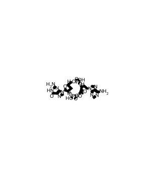 Nc1nc2c(ncn2[C@@H]2O[C@@H]3COP(=O)(O)O[C@H]4C[C@H](n5cnc6c(N)ncnc65)O[C@]4(CO)COP(=O)(O)O[C@@H]2C3)c(=O)[nH]1